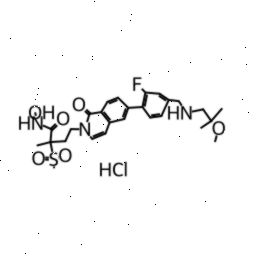 COC(C)(C)CNCc1ccc(-c2ccc3c(=O)n(CCC(C)(C(=O)NO)S(C)(=O)=O)ccc3c2)c(F)c1.Cl